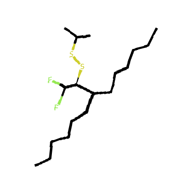 CCCCCCC(CCCCCC)[C@H](SSC(C)C)C(F)F